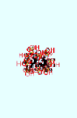 O=S(=O)(O)OC[C@H](OS(=O)(=O)O)[C@@H](OS(=O)(=O)O)[C@H](O[C@@H]1O[C@H](COS(=O)(=O)O)[C@H](OS(=O)(=O)O)[C@H](OS(=O)(=O)O)[C@H]1OS(=O)(=O)O)[C@@H](COS(=O)(=O)O)OS(=O)(=O)O